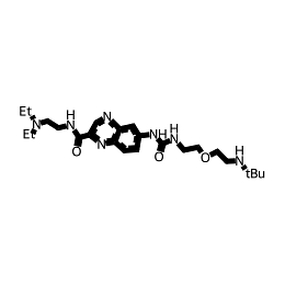 CCN(CC)CCNC(=O)c1cnc2cc(NC(=O)NCCOCCNC(C)(C)C)ccc2n1